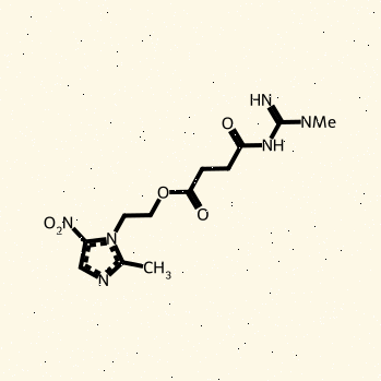 CNC(=N)NC(=O)CCC(=O)OCCn1c([N+](=O)[O-])cnc1C